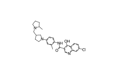 Cc1cc(N2CCC(CN3CCCC3C)C2)ccc1NC(=O)c1cnc2cc(Cl)ccc2c1O